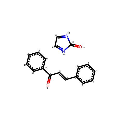 O=C(C=Cc1ccccc1)c1ccccc1.O=C1N=CC=N1